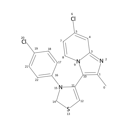 Cc1nc2cc(Cl)ccn2c1C1=CSCN1c1ccc(Cl)cc1